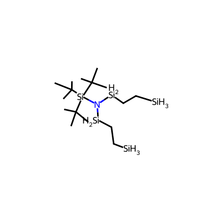 CC(C)(C)[Si](N([SiH2]CC[SiH3])[SiH2]CC[SiH3])(C(C)(C)C)C(C)(C)C